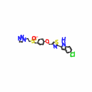 [O-][S+](CCn1ccnn1)Cc1ccc(OCc2csc(-c3cc4cc(Cl)ccc4[nH]3)n2)cc1